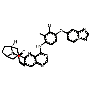 C=CC(=O)N1C2CC[C@H]1C[C@@H](c1ccc3ncnc(Nc4ccc(Oc5ccn6ncnc6c5)c(Cl)c4F)c3n1)C2